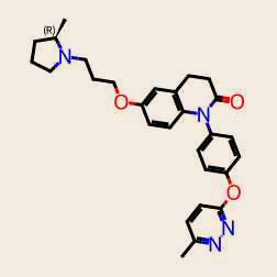 Cc1ccc(Oc2ccc(N3C(=O)CCc4cc(OCCCN5CCC[C@H]5C)ccc43)cc2)nn1